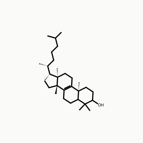 CC(C)CCC[C@@H](C)[C@H]1CC[C@@]2(C)C3=C(CC[C@]12C)[C@@]1(C)CCC(O)C(C)(C)C1CC3